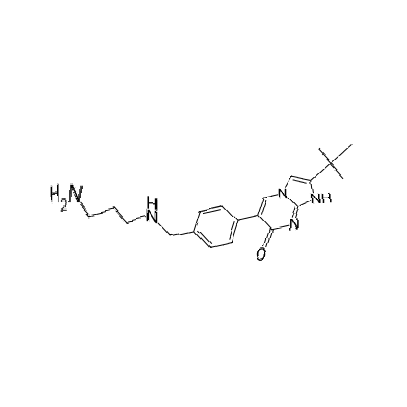 CC(C)(C)c1cn2cc(-c3ccc(CNCCCN)cc3)c(=O)nc2[nH]1